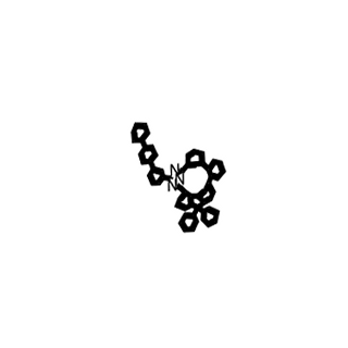 c1ccc(-c2ccc(-c3cccc(-c4nc5nc(n4)-c4cccc6c4-c4cc(ccc4C6(c4ccccc4)c4ccccc4)-c4ccccc4-c4cccc-5c4)c3)cc2)cc1